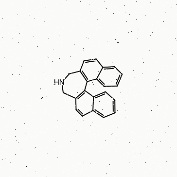 c1ccc2c3c(ccc2c1)CNCc1ccc2ccccc2c1-3